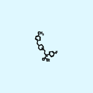 CCC(=O)N(CCN1CCC(Cc2ccc(C)cc2)CC1)c1ccc(F)cc1